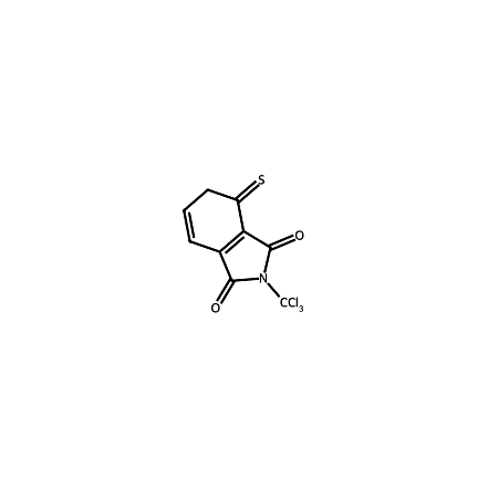 O=C1C2=C(C(=O)N1C(Cl)(Cl)Cl)C(=S)CC=C2